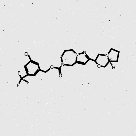 O=C(OCc1cc(Cl)cc(C(F)(F)F)c1)N1CCCn2nc(C3CN4CCC[C@@H]4CO3)cc2C1